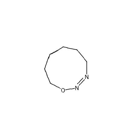 C1CCCON=NCC1